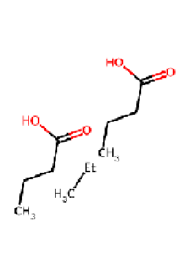 CCC.CCCC(=O)O.CCCC(=O)O